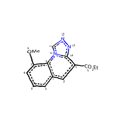 CCOC(=O)c1cc2cccc(OC)c2n2cnnc12